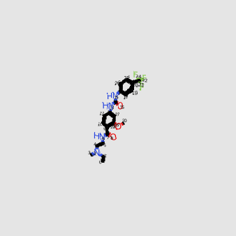 CCN(C)CCNC(=O)c1ccc(NC(=O)Nc2ccc(C(F)(F)F)cc2)cc1OC